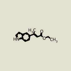 CCOC(=O)/C=C(\C)c1ccc2[nH]ccc2c1